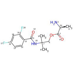 C[C@H](N)C(=O)OCC(C)(C)NC(=O)c1ccc(F)cc1F